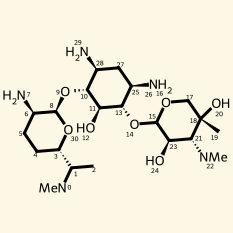 CNC(C)[C@@H]1CC[C@@H](N)[C@@H](O[C@H]2[C@H](O)[C@@H](OC3OC[C@](C)(O)[C@H](NC)[C@H]3O)[C@H](N)C[C@@H]2N)O1